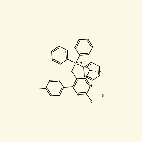 CC(C)c1nc(Cl)nc(-c2ccc(F)cc2)c1C[P+](c1ccccc1)(c1ccccc1)c1ccccc1.[Br-]